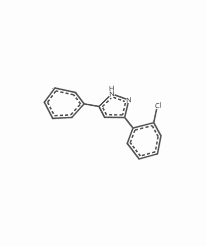 Clc1ccccc1-c1cc(-c2c[c]ccc2)[nH]n1